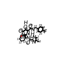 Cn1cnc(C(=O)NC23CCC(CC2)Cn2c3nc(C(=O)NCc3ccc(F)cc3)c(O)c2=O)n1